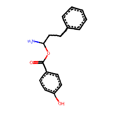 NC(CCc1ccccc1)OC(=O)c1ccc(O)cc1